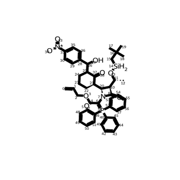 C=CCOC(=O)C(N1C(=O)[C@H]([C@@H](C)O[SiH2]CC(C)(C)C)[C@H]1[C@H]1CCCC(C(O)c2ccc([N+](=O)[O-])cc2)C1=O)=P(c1ccccc1)(c1ccccc1)c1ccccc1